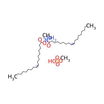 CCCCCCCC/C=C\CCCCCCCC(=O)O[N+](N)(CC)C(=O)CCCCCCC/C=C\CCCCCCCC.COS(=O)(=O)O